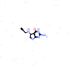 C#CCNC1C=Nc2nc(N)[nH]c(=O)c21